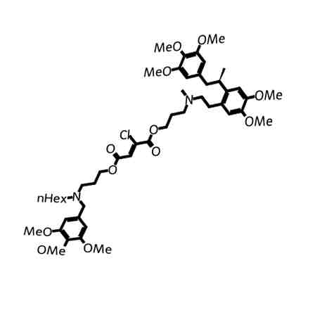 CCCCCCN(CCCOC(=O)/C=C(\Cl)C(=O)OCCCN(C)CCc1cc(OC)c(OC)cc1[C@H](C)Cc1cc(OC)c(OC)c(OC)c1)Cc1cc(OC)c(OC)c(OC)c1